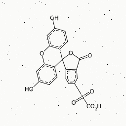 O=C1OC2(c3ccc(O)cc3Oc3cc(O)ccc32)c2ccc(S(=O)(=O)C(=O)O)cc21